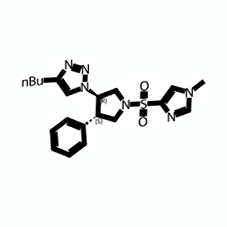 CCCCc1cn([C@H]2CN(S(=O)(=O)c3cn(C)cn3)C[C@@H]2c2ccccc2)nn1